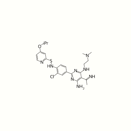 CC(=N)c1c(N)nc(-c2ccc(NSc3cc(OC(C)C)ccn3)c(Cl)c2)nc1NCCN(C)C